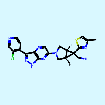 Cc1csc(C2(CN)[C@@H]3CN(c4cnc5c(-c6ccncc6Cl)n[nH]c5n4)C[C@@H]32)n1